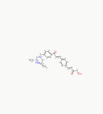 C[C@@H]1CN(Cc2ccc(C(=O)/C=C/c3ccc(/C=C/C(=O)CO)cc3)cc2)C[C@H](C)N1